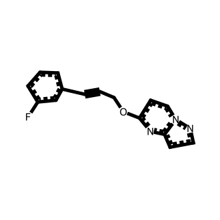 Fc1cccc(C#CCOc2ccn3nccc3n2)c1